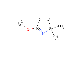 COC1=NC(C)(C)CC1